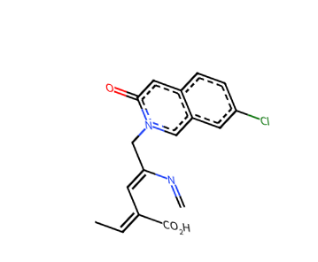 C=N/C(=C\C(=C/C)C(=O)O)Cn1cc2cc(Cl)ccc2cc1=O